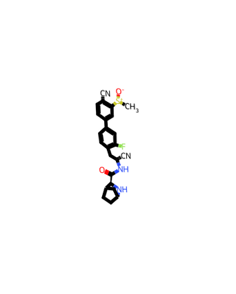 C[S+]([O-])c1cc(-c2ccc(CC(C#N)NC(=O)[C@H]3NC4CCC3C4)c(F)c2)ccc1C#N